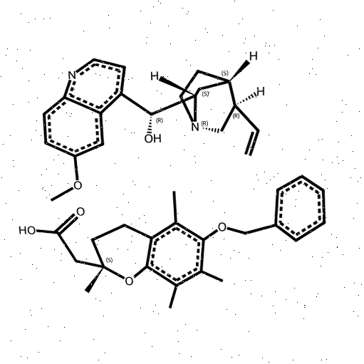 C=C[C@H]1C[N@]2CC[C@H]1C[C@H]2[C@H](O)c1ccnc2ccc(OC)cc12.Cc1c(C)c2c(c(C)c1OCc1ccccc1)CC[C@@](C)(CC(=O)O)O2